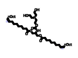 CCCCCCCC/C=C\CCCCCCCC(=O)OCC(COC(=O)CCCCCCC/C=C\CCCCCCCC)NC(=O)OCCN(CCO)CCO